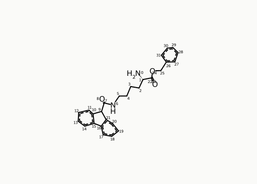 N[C@@H](CCCCNC(=O)C1c2ccccc2-c2ccccc21)C(=O)OCc1ccccc1